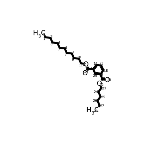 CCCCCCCCCCCCOC(=O)c1cccc(C(=O)OCCCCCC)c1